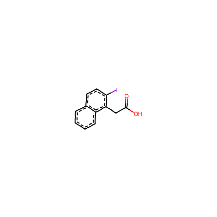 O=C(O)Cc1c(I)ccc2ccccc12